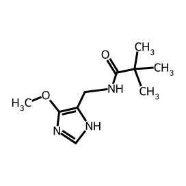 COc1nc[nH]c1CNC(=O)C(C)(C)C